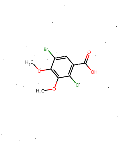 COc1c(Br)cc(C(=O)O)c(Cl)c1OC